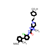 CNc1cccc(-c2cccc(NC(=O)c3nc4c(n3C)CCN(CC[C@H]3CC[C@H](C(=O)O)CC3)C4)c2Cl)c1C